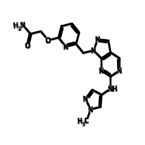 Cn1cc(Nc2ncc3cnn(Cc4cccc(OCC(N)=O)n4)c3n2)cn1